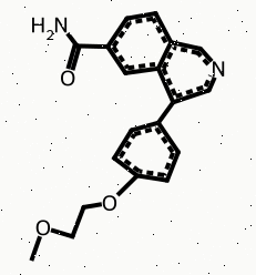 COCCOc1ccc(-c2cncc3ccc(C(N)=O)cc23)cc1